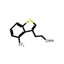 [CH2]OCCc1csc2cccc(C(F)(F)F)c12